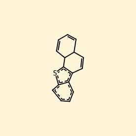 C1=CC2C=Cc3c(sc4ccccc34)C2C=C1